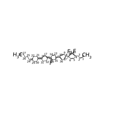 C/C=C\Cc1ccc(-c2ccc(-c3ccc(C4=CCC(C5CCC(CCCCC)CC5)CC4)c(F)c3)cc2)c(F)c1F